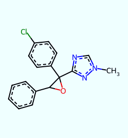 Cn1cnc(C2(c3ccc(Cl)cc3)OC2c2ccccc2)n1